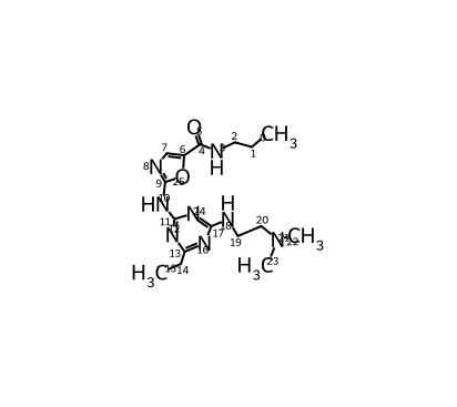 CCCNC(=O)c1cnc(Nc2nc(CC)nc(NCCN(C)C)n2)o1